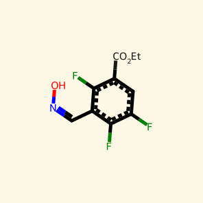 CCOC(=O)c1cc(F)c(F)c(/C=N\O)c1F